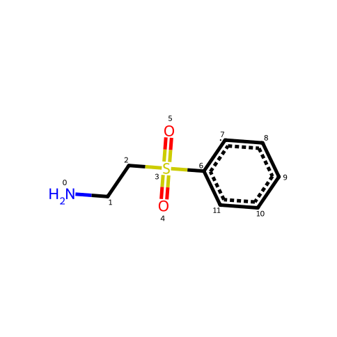 NCCS(=O)(=O)c1[c]cccc1